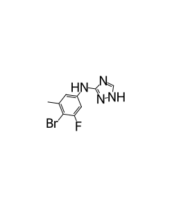 Cc1cc(Nc2nc[nH]n2)cc(F)c1Br